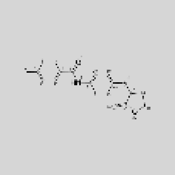 Cc1ccc(C(=O)Nc2ccc(SC3CCOC3=O)cc2)cc1